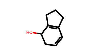 OC1CC=CC2=C1CCC2